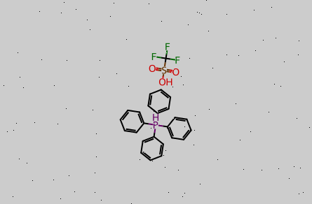 O=S(=O)(O)C(F)(F)F.c1ccc([PH](c2ccccc2)(c2ccccc2)c2ccccc2)cc1